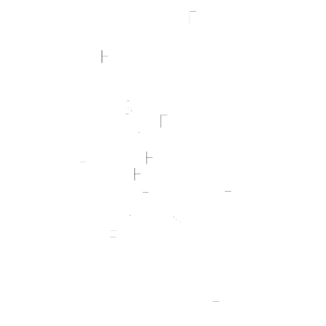 Fc1ccc(SC(F)(F)CC(F)(F)CC(F)(F)CSc2cc(F)ccc2F)c(F)c1